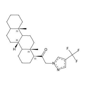 C[C@]12CCCCC1CC[C@@H]1C2CC[C@@]2(C)C1CCC[C@@H]2C(=O)Cn1cc(C(F)(F)F)cn1